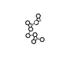 C1=CC(n2c3ccccc3c3cc(-c4ccccc4-c4cccc5c4c4ccccc4n5-c4ccccc4)ccc32)Cc2c1sc1ccccc21